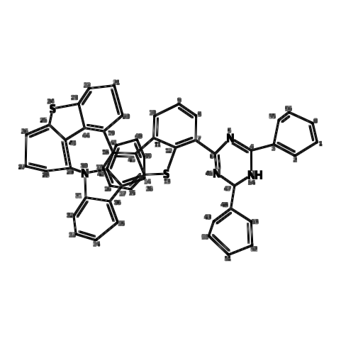 c1ccc(C2=NC(c3cccc4c3sc3cccc(-c5cccc6sc7cccc(-n8c9ccccc9c9ccccc98)c7c56)c34)=NC(c3ccccc3)N2)cc1